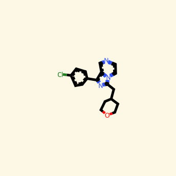 Clc1ccc(-c2nc(CC3CCOCC3)n3ccncc23)cc1